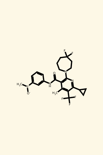 Cc1c(C(=O)Nc2cccc([S+](C)[O-])c2)c(N2CCCC(F)(F)CC2)nc(C2CC2)c1C(F)(F)F